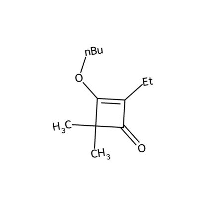 CCCCOC1=C(CC)C(=O)C1(C)C